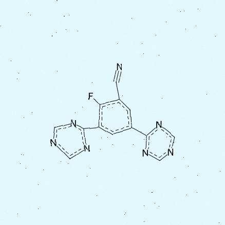 N#Cc1cc(-c2ncncn2)cc(-c2ncncn2)c1F